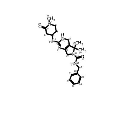 CN1CCC(NC2=NC3=C(CN2)C(C)(C)N(C(=O)NCc2ccccc2)C3)CC1=O